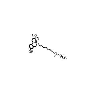 C[C@]12CCC3c4ccc(O)cc4C[C@@H](CCCCCCCCC[S+]([O-])CCCC(F)(F)C(F)(F)F)[C@H]3[C@@H]1CC[C@@H]2O